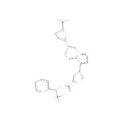 CC(=O)c1ccc(-c2cnc3c(-c4csc(C(=O)NC(c5ccccn5)C(F)(F)F)c4)cnn3c2)s1